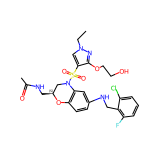 CCn1cc(S(=O)(=O)N2C[C@H](CNC(C)=O)Oc3ccc(NCc4c(F)cccc4Cl)cc32)c(OCCO)n1